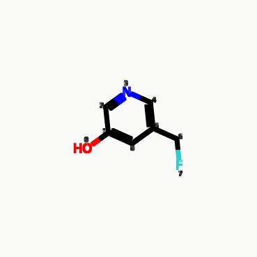 Oc1cncc(CF)c1